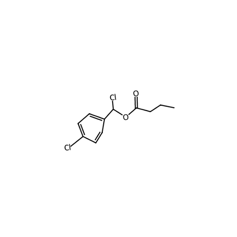 CCCC(=O)OC(Cl)c1ccc(Cl)cc1